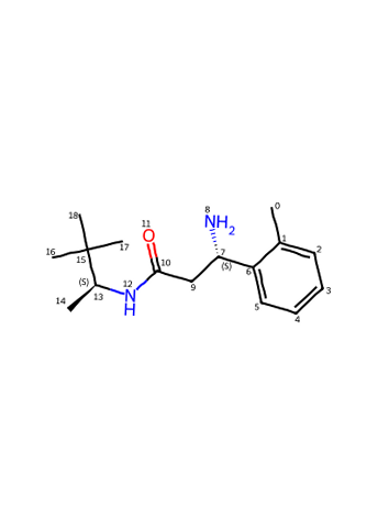 Cc1ccccc1[C@@H](N)CC(=O)N[C@@H](C)C(C)(C)C